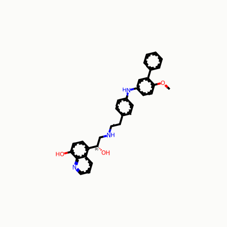 COc1ccc(Nc2ccc(CCNC[C@H](O)c3ccc(O)c4ncccc34)cc2)cc1-c1ccccc1